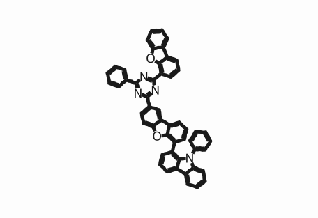 c1ccc(-c2nc(-c3ccc4oc5c(-c6cccc7c8ccccc8n(-c8ccccc8)c67)cccc5c4c3)nc(-c3cccc4c3oc3ccccc34)n2)cc1